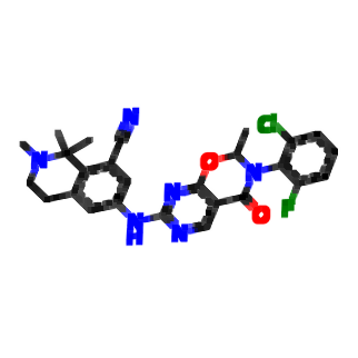 CC1Oc2nc(Nc3cc(C#N)c4c(c3)CCN(C)C4(C)C)ncc2C(=O)N1c1c(F)cccc1Cl